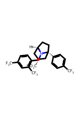 O=C(O)[C@@H]1C[C@H]2CC[C@@](c3ccc(C(F)(F)F)cc3)(C1)N2Cc1ccc(C(F)(F)F)cc1C(F)(F)F